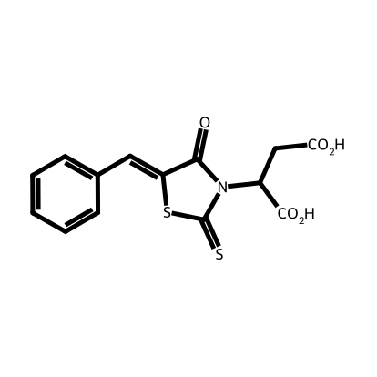 O=C(O)CC(C(=O)O)N1C(=O)C(=Cc2ccccc2)SC1=S